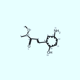 CON(C)C(=O)/C=C/c1cc(N)ccc1O